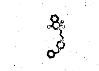 O=C1CN(CCCN2CCN(Cc3ccccc3)CC2)S(=O)(=O)c2ccccc21